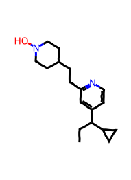 CCC(c1ccnc(CCC2CCN(O)CC2)c1)C1CC1